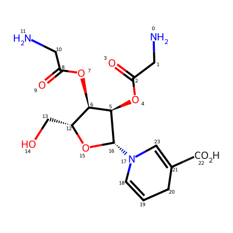 NCC(=O)O[C@@H]1[C@H](OC(=O)CN)[C@@H](CO)O[C@H]1N1C=CCC(C(=O)O)=C1